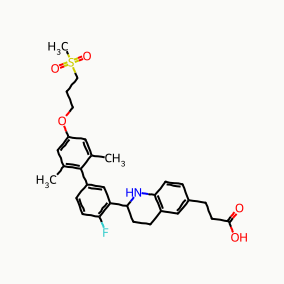 Cc1cc(OCCCS(C)(=O)=O)cc(C)c1-c1ccc(F)c(C2CCc3cc(CCC(=O)O)ccc3N2)c1